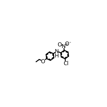 CCOc1ccc(Nc2cc(Cl)ccc2[N+](=O)[O-])cc1